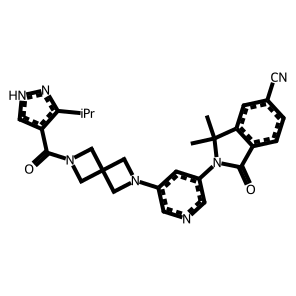 CC(C)c1n[nH]cc1C(=O)N1CC2(C1)CN(c1cncc(N3C(=O)c4ccc(C#N)cc4C3(C)C)c1)C2